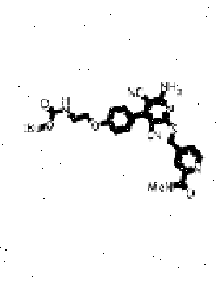 CNC(=O)c1cc(CSc2nc(N)c(C#N)c(-c3ccc(OCCNC(=O)OC(C)(C)C)cc3)c2C#N)ccn1